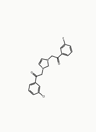 O=C(CN1[CH]N(CC(=O)c2cccc(Cl)c2)C=C1)c1cccc(F)c1